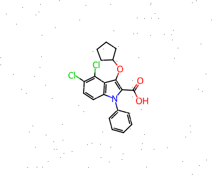 O=C(O)c1c(OC2CCCC2)c2c(Cl)c(Cl)ccc2n1-c1ccccc1